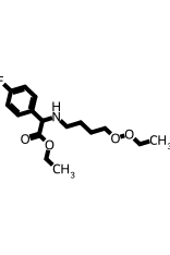 CCOOCCCCNC(C(=O)OCC)c1ccc(F)cc1